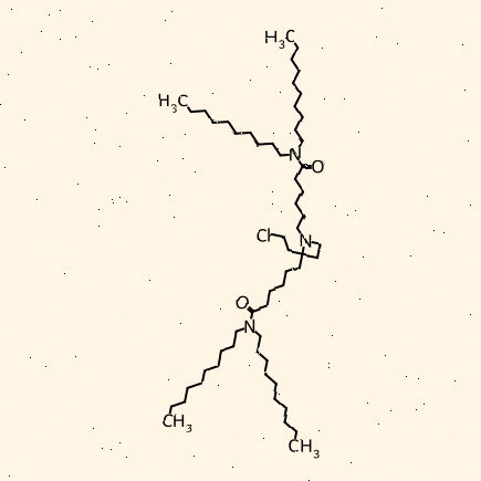 CCCCCCCCCCN(CCCCCCCCCC)C(=O)CCCCCN1CCC1(CCCl)CCCCCC(=O)N(CCCCCCCCCC)CCCCCCCCCC